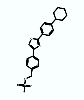 CS(=O)(=O)OCc1ccc(-c2noc(-c3ccc(C4CCCCC4)cc3)n2)cc1